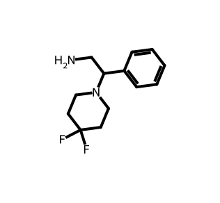 NCC(c1ccccc1)N1CCC(F)(F)CC1